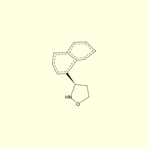 c1ccc2c([C@H]3CCON3)cccc2c1